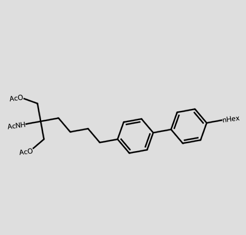 CCCCCCc1ccc(-c2ccc(CCCCC(COC(C)=O)(COC(C)=O)NC(C)=O)cc2)cc1